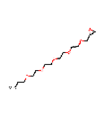 COCCOCCOCCOCCOCCOCC1CO1